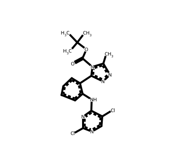 Cc1nnc(-c2ccccc2Nc2nc(Cl)ncc2Cl)n1C(=O)OC(C)(C)C